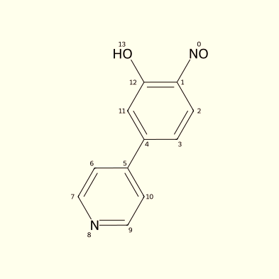 O=Nc1ccc(-c2ccncc2)cc1O